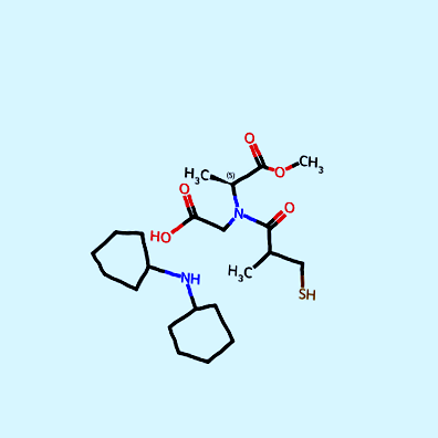 C1CCC(NC2CCCCC2)CC1.COC(=O)[C@H](C)N(CC(=O)O)C(=O)C(C)CS